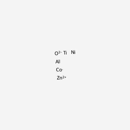 [Al].[Co].[Ni].[O-2].[Ti].[Zn+2]